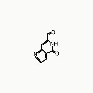 O=Cc1cc2ncccc2c(=O)[nH]1